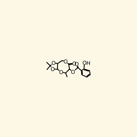 CC1OC2OC(C)(C)OC2COC(=O)C1OC(=O)c1ccccc1O